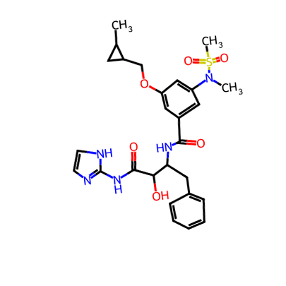 CC1CC1COc1cc(C(=O)NC(Cc2ccccc2)C(O)C(=O)Nc2ncc[nH]2)cc(N(C)S(C)(=O)=O)c1